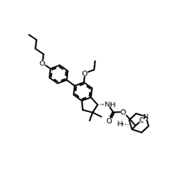 CCCCOc1ccc(-c2cc3c(cc2OCC)[C@H](NC(=O)O[C@H]2CN4CCC2CC4)C(C)(C)C3)cc1